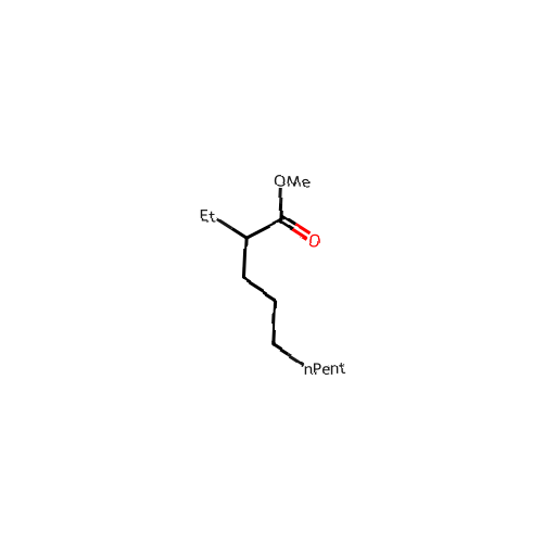 CCCCCCCCC(CC)C(=O)OC